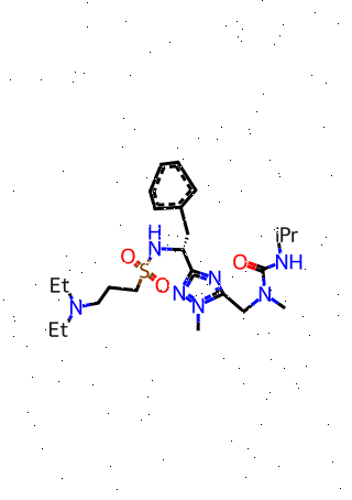 CCN(CC)CCCS(=O)(=O)N[C@H](Cc1ccccc1)c1nc(CN(C)C(=O)NC(C)C)n(C)n1